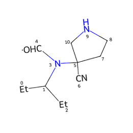 CCC(CC)N([C]=O)C1(C#N)CCNC1